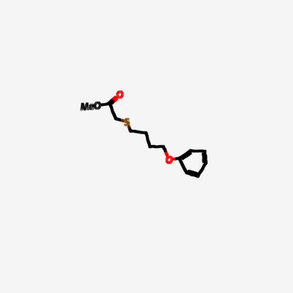 COC(=O)CSCCCCOc1ccccc1